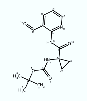 CC(C)(C)OC(=O)NC1(C(=O)Nc2ncccc2C=O)CC1